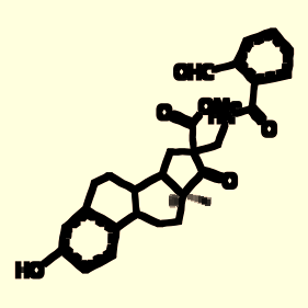 COC(=O)C1(CNC(=O)c2ccccc2C=O)CC2C3CCc4cc(O)ccc4C3CC[C@]2(C)C1=O